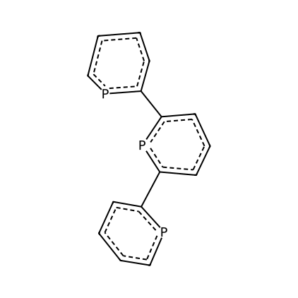 c1ccc(-c2cccc(-c3ccccp3)p2)pc1